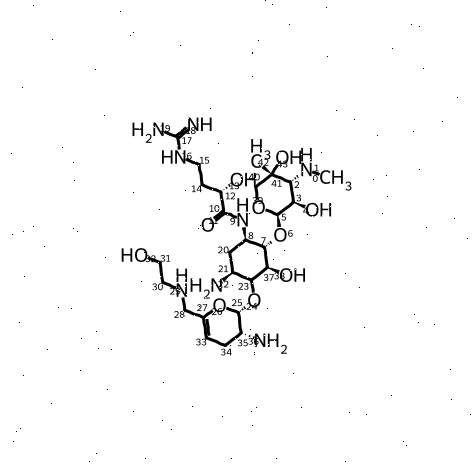 CN[C@@H]1[C@@H](O)[C@@H](O[C@H]2[C@H](NC(=O)[C@@H](O)CCNC(=N)N)C[C@H](N)C(O[C@H]3OC(CNCCO)=CC[C@H]3N)[C@@H]2O)OC[C@]1(C)O